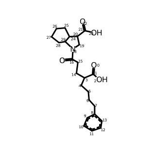 O=C(O)C(CCCCc1ccccc1)CCC(=O)N1CC(C(=O)O)C2CCCCC21